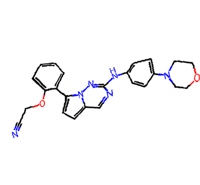 N#CCOc1ccccc1-c1ccc2cnc(Nc3ccc(N4CCOCC4)cc3)nn12